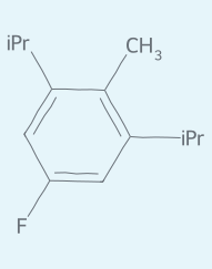 Cc1c(C(C)C)cc(F)cc1C(C)C